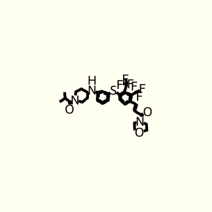 CC(C)C(=O)N1CCC(Nc2cccc(Sc3ccc(C=CC(=O)N4CCOCC4)c(C(F)(F)F)c3C(F)(F)F)c2)CC1